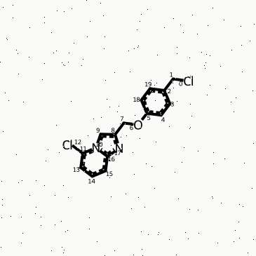 ClCc1ccc(OCc2cn3c(Cl)cccc3n2)cc1